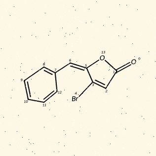 O=C1C=C(Br)/C(=C\c2ccccc2)O1